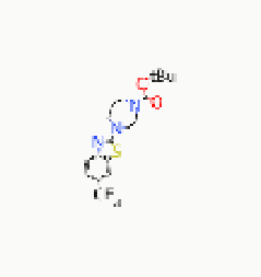 CC(C)(C)OC(=O)N1CCCN(c2nc3ccc(C(F)(F)F)cc3s2)CC1